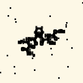 CCCC(NC(=O)C1C2CCC(C2)N1C(=O)[C@@H](NC(=O)OC(C)(C)C)C(C)(C)C)C(=O)C(N)=O